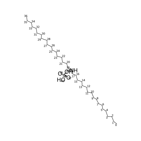 CCCCCCCCCCCCCCCCCCNCCCCCCCCCCCCCCCCCC.O=S(=O)(O)O